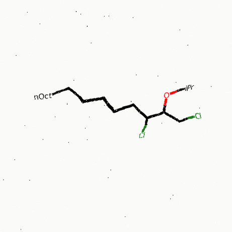 CCCCCCCCCCCCCC(Cl)C(CCl)OC(C)C